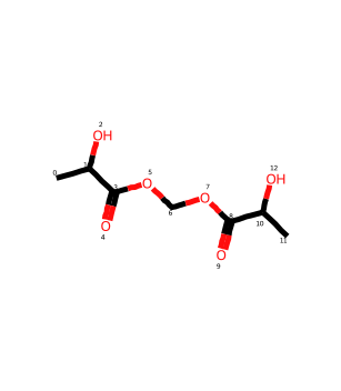 CC(O)C(=O)OCOC(=O)C(C)O